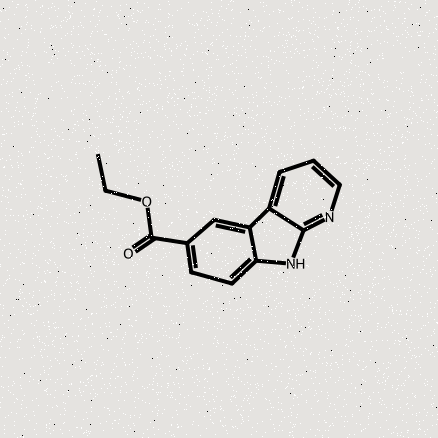 CCOC(=O)c1ccc2[nH]c3ncccc3c2c1